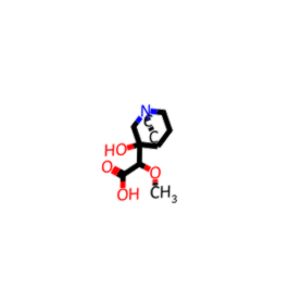 COC(C(=O)O)C1(O)CN2CCC1CC2